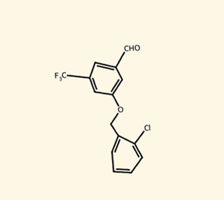 O=Cc1cc(OCc2ccccc2Cl)cc(C(F)(F)F)c1